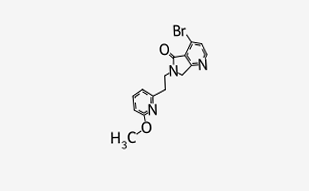 COc1cccc(CCN2Cc3nccc(Br)c3C2=O)n1